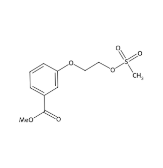 COC(=O)c1cccc(OCCOS(C)(=O)=O)c1